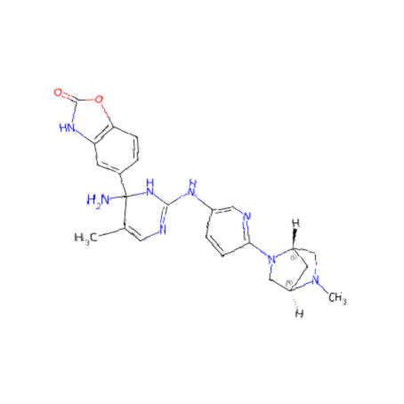 CC1=CN=C(Nc2ccc(N3C[C@H]4C[C@H]3CN4C)nc2)NC1(N)c1ccc2oc(=O)[nH]c2c1